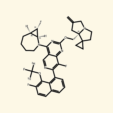 [2H]C([2H])(F)Oc1c(F)ccc2cccc(-c3ncc4c(N5CCCC[C@H]6[C@H](F)[C@H]65)nc(OC[C@]56CC(=C)CN5CCC65CC5)nc4c3F)c12